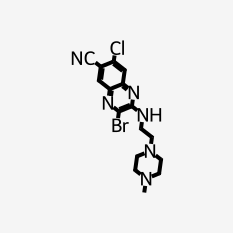 CN1CCN(CCNc2nc3cc(Cl)c(C#N)cc3nc2Br)CC1